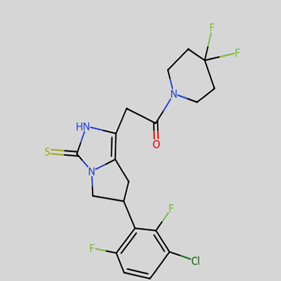 O=C(Cc1[nH]c(=S)n2c1CC(c1c(F)ccc(Cl)c1F)C2)N1CCC(F)(F)CC1